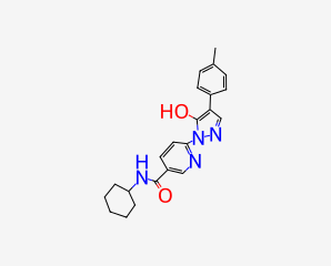 Cc1ccc(-c2cnn(-c3ccc(C(=O)NC4CCCCC4)cn3)c2O)cc1